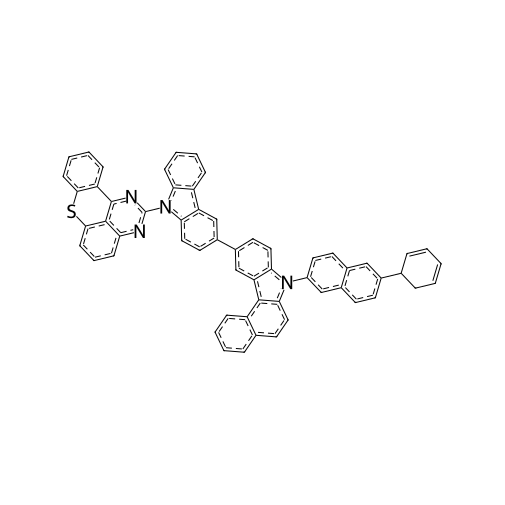 C1=CCC(c2ccc3cc(-n4c5ccc(-c6ccc7c(c6)c6ccccc6n7-c6nc7c8c(cccc8n6)Sc6ccccc6-7)cc5c5c6ccccc6ccc54)ccc3c2)C=C1